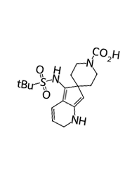 CC(C)(C)S(=O)(=O)NC1=C2C=CCNC2=CC12CCN(C(=O)O)CC2